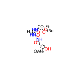 CCOC(=O)[C@@H](CCC(=O)OC(C)(C)C)NC(=O)[C@H](C)NC(=O)CNC(=O)/C=C/c1ccc(O)c(OC)c1